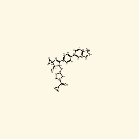 O=C(C1CC1)N1CC[C@@H](CN2C(=O)C3(CC3)N=C2c2ccc(-c3ccc4[nH]ncc4c3)cn2)C1